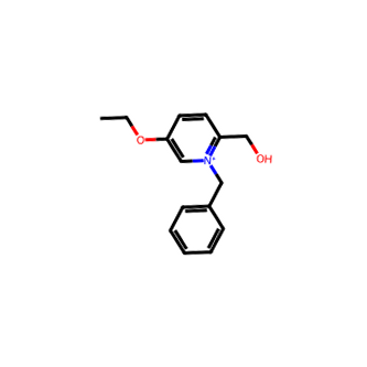 CCOc1ccc(CO)[n+](Cc2ccccc2)c1